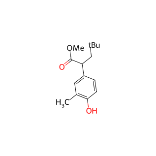 COC(=O)C(CC(C)(C)C)c1ccc(O)c(C)c1